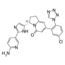 Nc1ccc(-c2ncc([C@@H]3CCc4cc(-c5cc(Cl)ccc5-n5cnnn5)cc(=O)n43)[nH]2)cn1